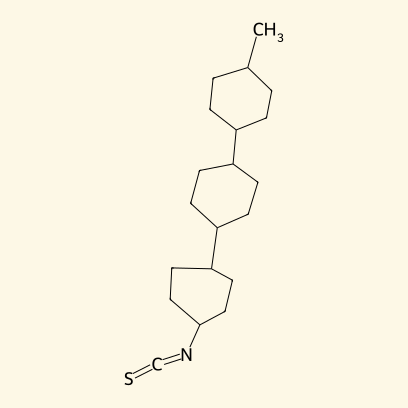 CC1CCC(C2CCC(C3CCC(N=C=S)CC3)CC2)CC1